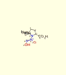 O=C(O)C1CCCN1[N+]([O-])=NO.[NaH].[NaH]